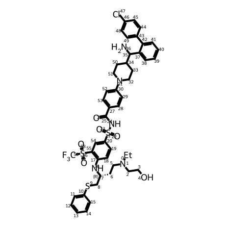 CCN(CCO)CC[C@H](CSc1ccccc1)Nc1ccc(S(=O)(=O)NC(=O)c2ccc(N3CCC(C(N)c4ccccc4-c4ccc(Cl)cc4)CC3)cc2)cc1S(=O)(=O)C(F)(F)F